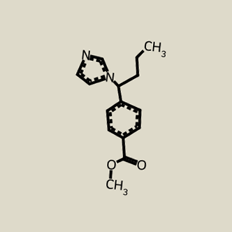 CCCC(c1ccc(C(=O)OC)cc1)n1ccnc1